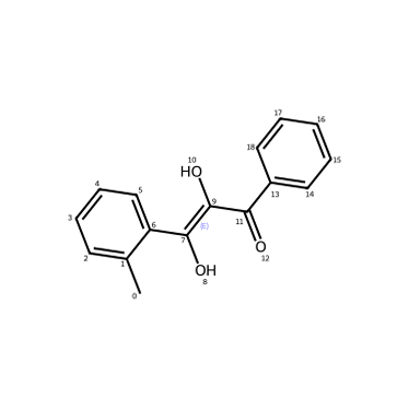 Cc1ccccc1/C(O)=C(\O)C(=O)c1ccccc1